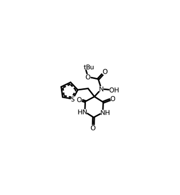 CC(C)(C)OC(=O)N(O)C1(Cc2cccs2)C(=O)NC(=O)NC1=O